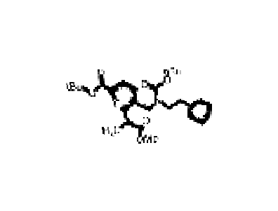 CCCCOC(=O)N(CCc1ccccc1)Cc1ccc(C(=O)OC(C)(C)C)cc1C(C)C(=O)OC